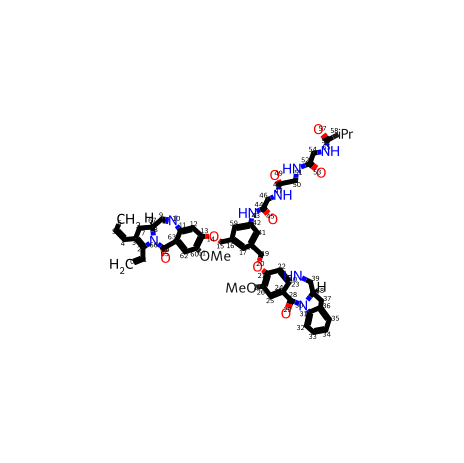 C=CC1=C(/C=C\C)C[C@H]2C=Nc3cc(OCc4cc(COc5cc6c(cc5OC)C(=O)N5c7ccccc7C[C@H]5CN6)cc(NC(=O)CNC(=O)CNC(=O)CNC(=O)C(C)C)c4)c(OC)cc3C(=O)N12